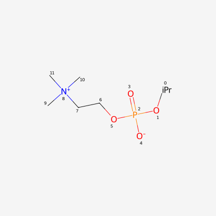 CC(C)OP(=O)([O-])OCC[N+](C)(C)C